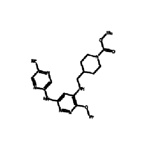 CC(C)Oc1nnc(Nc2cnc(C#N)cn2)cc1NCC1CCN(C(=O)OC(C)(C)C)CC1